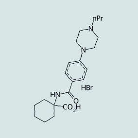 Br.CCCN1CCN(c2ccc(C(=O)NC3(C(=O)O)CCCCC3)cc2)CC1